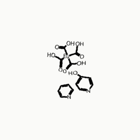 O=[C](O)[Eu]([C](=O)O)([C](=O)O)[C](=O)O.Oc1ccncc1.c1ccncc1